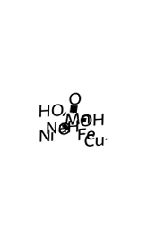 [Cu].[Fe].[NaH].[Ni].[O]=[Mn](=[O])([OH])[OH]